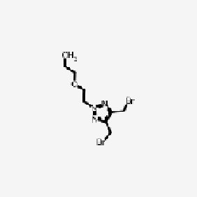 CCCOCCn1nc(CBr)c(CBr)n1